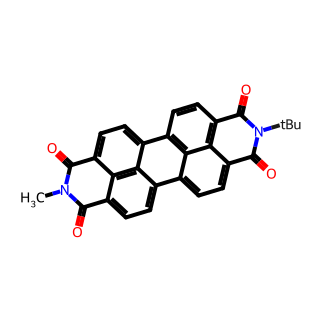 CN1C(=O)c2ccc3c4ccc5c6c(ccc(c7ccc(c2c37)C1=O)c64)C(=O)N(C(C)(C)C)C5=O